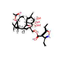 CCc1noc(CC)c1C(=O)OCC1=C[C@@H]2C(=O)[C@]3(C=C(C)[C@H](O)[C@@]3(O)[C@@H]1O)CC[C@]1(OC(C)=O)[C@H]2C1(C)C